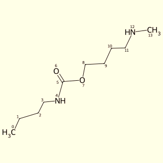 CCCCNC(=O)OCCCCNC